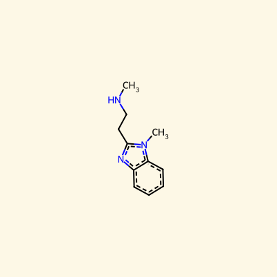 CNCCc1nc2ccccc2n1C